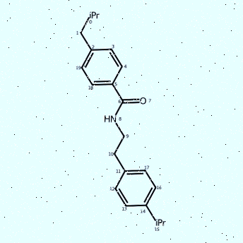 CC(C)Cc1ccc(C(=O)NCCc2ccc(C(C)C)cc2)cc1